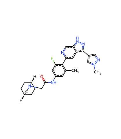 Cc1cc(NC(=O)CN2C[C@H]3CC[C@@H]2CC3)cc(F)c1-c1cc2c(-c3cnn(C)c3)n[nH]c2cn1